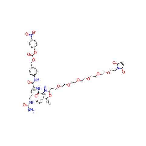 CC(C)[C@H](NC(=O)CCOCCOCCOCCOCCOCCOCCN1C(=O)C=CC1=O)C(=O)N[C@@H](CCCNC(N)=O)C(=O)Nc1ccc(COC(=O)Oc2ccc([N+](=O)[O-])cc2)cc1